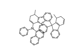 CC1CC=CC2=C1C(c1ccccc1)(c1cccc3c4c(sc13)C(N(c1ccccc1)c1cccc3ccccc13)=CCC4C)c1ccccc12